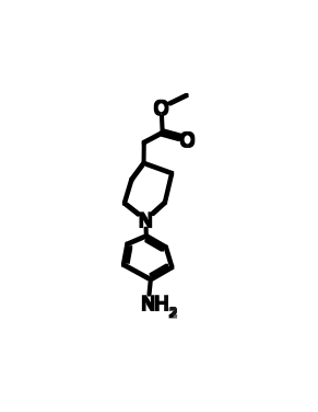 COC(=O)CC1CCN(c2ccc(N)cc2)CC1